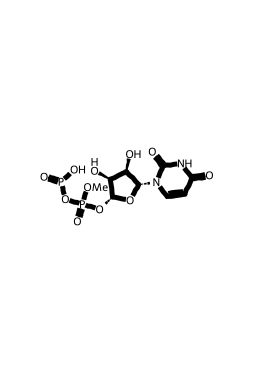 COP(=O)(O[C@H]1O[C@@H](n2ccc(=O)[nH]c2=O)[C@H](O)[C@@H]1O)O[P](=O)O